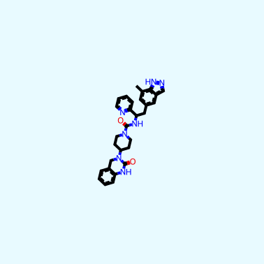 Cc1cc(CC(NC(=O)N2CCC(N3Cc4ccccc4NC3=O)CC2)c2ccccn2)cc2cn[nH]c12